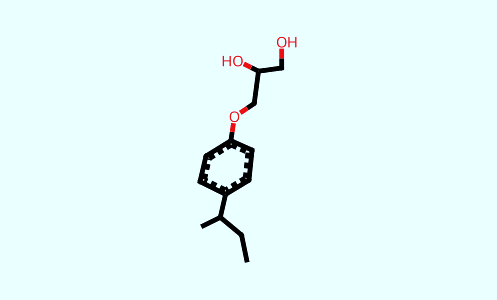 CCC(C)c1ccc(OCC(O)CO)cc1